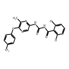 Cc1nc(NC(=O)NC(=O)c2c(Cl)cccc2Cl)cnc1Oc1ccc(C(F)(F)F)cc1